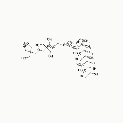 C=CC(=O)O.C=CC(=O)O.C=CC(=O)O.C=CC(=O)O.C=CC(=O)O.O=C(O)CS.O=C(O)CS.O=C(O)CS.O=C(O)CS.OCC(CO)(CO)COCC(CO)(CO)CO